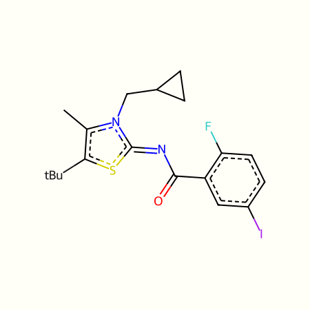 Cc1c(C(C)(C)C)s/c(=N\C(=O)c2cc(I)ccc2F)n1CC1CC1